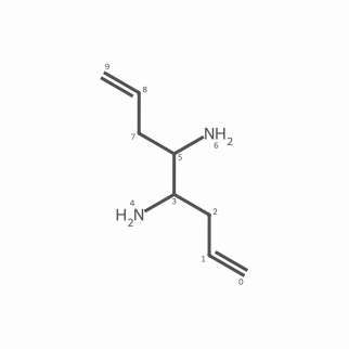 C=CCC(N)C(N)CC=C